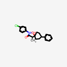 C[C@@H](C(=O)Nc1ccc(Cl)cc1)C1(O)CCC(c2ccccc2)CC1